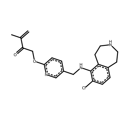 C=C(C)C(=O)COc1ccc(CNc2c(Cl)ccc3c2CCNCC3)cn1